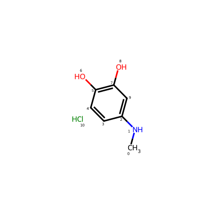 CNc1ccc(O)c(O)c1.Cl